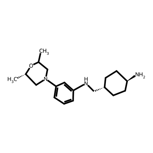 CC1CN(c2cccc(NC[C@H]3CC[C@H](N)CC3)c2)C[C@H](C)O1